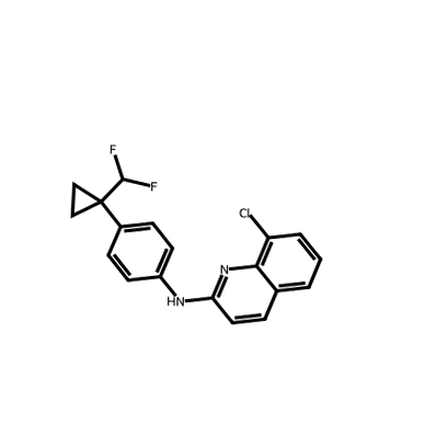 FC(F)C1(c2ccc(Nc3ccc4cccc(Cl)c4n3)cc2)CC1